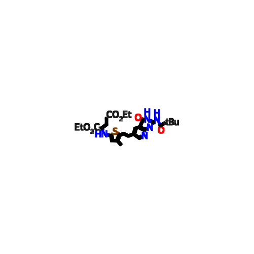 CCOC(=O)CC[C@H](Nc1cc(C)c(CCc2cnc3nc(NC(=O)C(C)(C)C)[nH]c(=O)c3c2)s1)C(=O)OCC